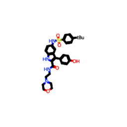 CC(C)(C)c1ccc(S(=O)(=O)Nc2ccc3[nH]c(C(=O)NCCN4CCOCC4)c(-c4ccc(O)cc4)c3c2)cc1